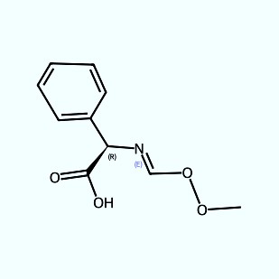 COO/C=N/[C@@H](C(=O)O)c1ccccc1